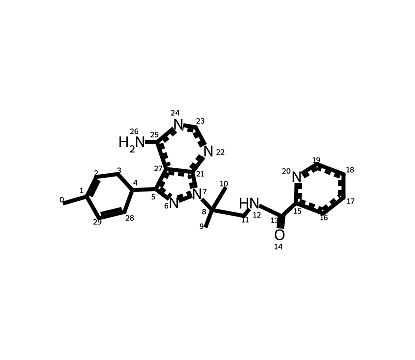 CC1=CCC(c2nn(C(C)(C)CNC(=O)c3ccccn3)c3ncnc(N)c23)C=C1